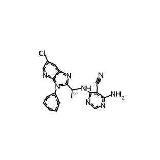 C[C@H](Nc1ncnc(N)c1C#N)c1nc2cc(Cl)cnc2n1-c1ccccc1